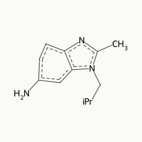 Cc1nc2ccc(N)cc2n1CC(C)C